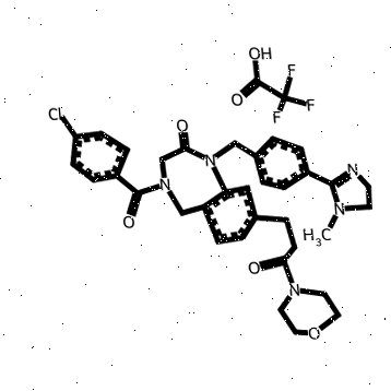 CN1CCN=C1c1ccc(CN2C(=O)CN(C(=O)c3ccc(Cl)cc3)Cc3ccc(CCC(=O)N4CCOCC4)cc32)cc1.O=C(O)C(F)(F)F